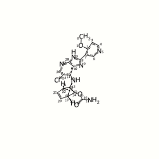 COc1ccncc1-c1nc2c(N[C@H]3[C@@H](OC(N)=O)[C@@H]4C=C[C@H]3C4)c(Cl)cnc2[nH]1